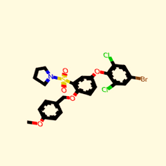 COc1ccc(COc2ccc(Oc3c(Cl)cc(Br)cc3Cl)cc2S(=O)(=O)N2CCCC2)cc1